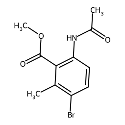 COC(=O)c1c(NC(C)=O)ccc(Br)c1C